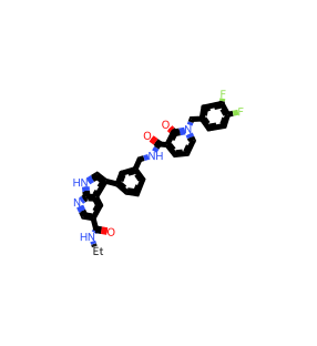 CCNC(=O)c1cnc2[nH]cc(-c3cccc(CNC(=O)c4cccn(Cc5ccc(F)c(F)c5)c4=O)c3)c2c1